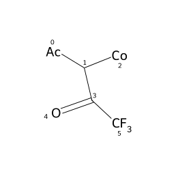 CC(=O)[CH]([Co])C(=O)C(F)(F)F